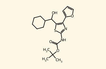 CC(C)(C)OC(=O)Nc1nc(-c2ccco2)c(C(O)C2CCCCC2)s1